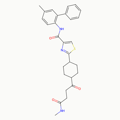 CNC(=O)CCC(=O)C1CCC(c2nc(C(=O)Nc3ccc(C)cc3-c3ccccc3)cs2)CC1